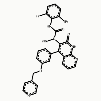 CCCCN(C(=O)Nc1c(C(C)C)cccc1C(C)C)c1c(-c2cccc(OCc3ccncc3)c2)c2cccnc2[nH]c1=O